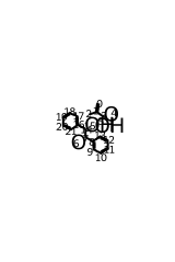 C=C(C)C(=O)O.O=C(c1ccccc1)C(O)c1ccccc1